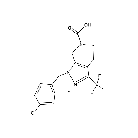 O=C(O)N1CCc2c(C(F)(F)F)nn(Cc3ccc(Cl)cc3F)c2C1